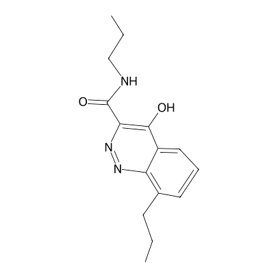 CCCNC(=O)c1nnc2c(CCC)cccc2c1O